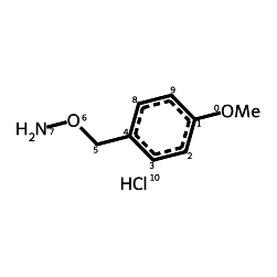 COc1ccc(CON)cc1.Cl